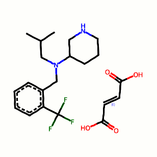 CC(C)CN(Cc1ccccc1C(F)(F)F)C1CCCNC1.O=C(O)/C=C/C(=O)O